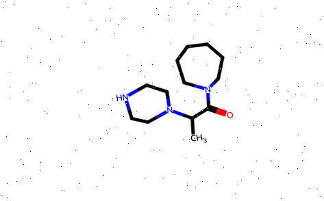 CC(C(=O)N1CCCCCC1)N1CCNCC1